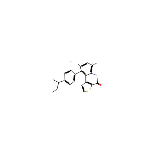 [CH2]C(CC(C)(C)C)c1ccc(-c2c(OC)cc(Br)c3[nH]c(=O)c4sccc4c23)cc1